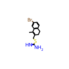 CC1=C(CSC(=N)N)CCc2ccc(Br)cc21